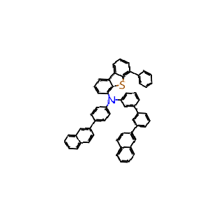 c1ccc(-c2cccc3c2sc2c(N(c4ccc(-c5ccc6ccccc6c5)cc4)c4cccc(-c5cccc(-c6ccc7ccccc7c6)c5)c4)cccc23)cc1